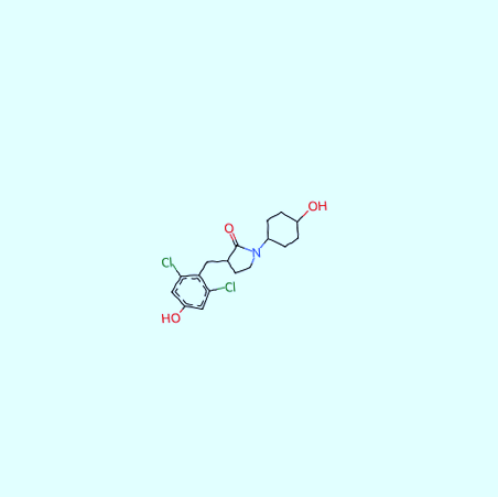 O=C1C(Cc2c(Cl)cc(O)cc2Cl)CCN1C1CCC(O)CC1